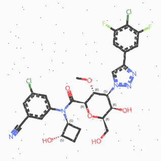 CO[C@@H]1[C@@H](n2cc(-c3cc(F)c(Cl)c(F)c3)nn2)[C@@H](O)[C@@H](CO)O[C@H]1C(=O)N(c1cc(Cl)cc(C#N)c1)[C@H]1CC[C@@H]1O